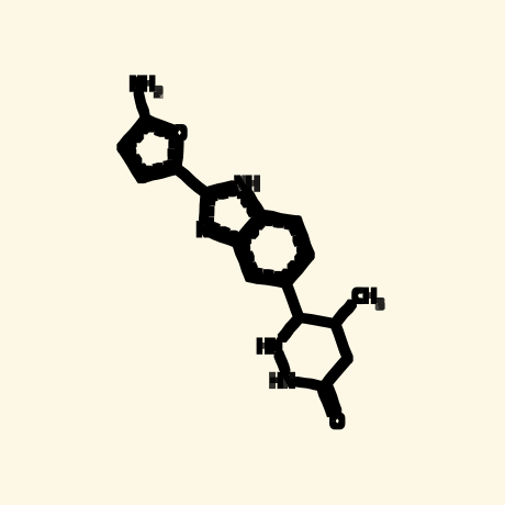 CC1CC(=O)NNC1c1ccc2[nH]c(-c3ccc(N)o3)nc2c1